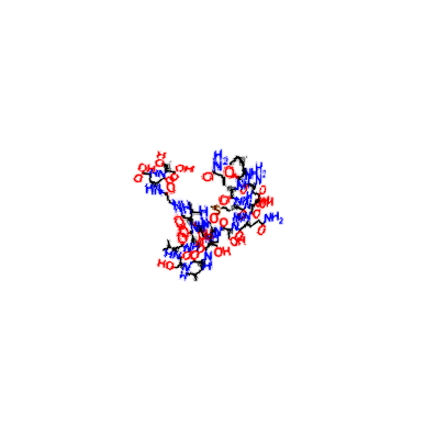 CC[C@H](C)[C@H](NC(=O)[C@@H](N)CC(=O)O)C(=O)N[C@@H](CCC(N)=O)C(=O)N[C@@H](CCSC)C(=O)N[C@H](C(=O)N[C@@H](CCC(N)=O)C(=O)N[C@@H](CO)C(=O)N1CCC[C@H]1C(=O)N[C@@H](C)C(=O)N[C@@H](CO)C(=O)N[C@@H](CC(C)C)C(=O)N[C@@H](CO)C(=O)N[C@H](C(=O)N[C@@H](CO)C(=O)N[C@H](C(=O)NCC(=O)N[C@@H](CCC(=O)O)C(=O)N[C@H](C(=O)O)[C@@H](C)O)C(C)C)C(C)C)[C@@H](C)O